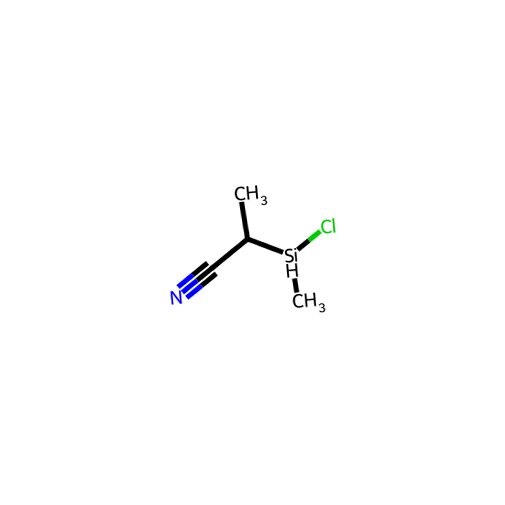 CC(C#N)[SiH](C)Cl